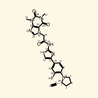 C#C[C@H]1CCCN1c1ccc(-c2csc(NC(=O)Cn3cnc4c3c(=O)n(C)c(=O)n4C)n2)cc1F